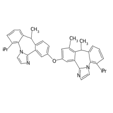 Cc1cc(Oc2ccc3c(c2)-c2nccn2-c2c(C(C)C)cccc2C3C)cc2c1C(C)c1cccc(C(C)C)c1-n1ccnc1-2